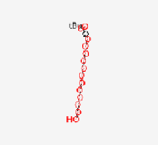 CC(C)(C)OC(=O)c1ccc(OCCOCCOCCOCCOCCOCCOCCOCCOCCOCCOCCO)cc1